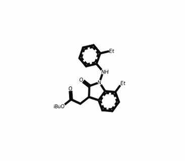 CCc1ccccc1NN1C(=O)C(CC(=O)OCC(C)C)c2cccc(CC)c21